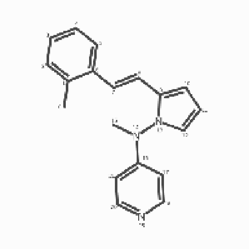 Cc1ccccc1C=Cc1cccn1N(C)c1ccncc1